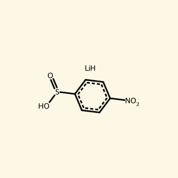 O=[N+]([O-])c1ccc(S(=O)O)cc1.[LiH]